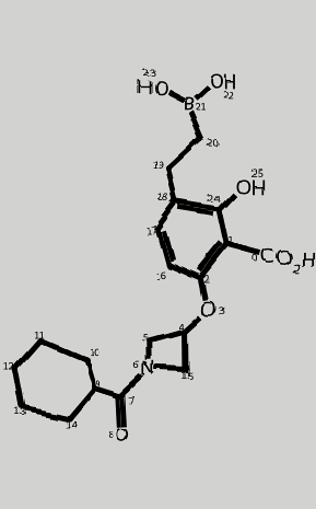 O=C(O)c1c(OC2CN(C(=O)C3CCCCC3)C2)ccc(CCB(O)O)c1O